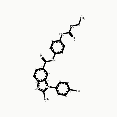 CCNC(=O)Nc1ccc(NC(=O)c2ccc3nc(C)n(-c4ccc(F)cc4)c3c2)cc1